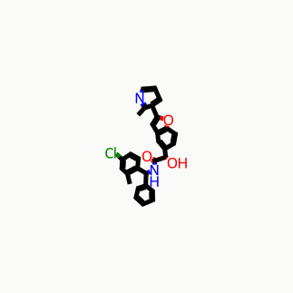 Cc1cc(Cl)ccc1C(NC(=O)C(O)c1ccc2oc(-c3cccnc3C)cc2c1)c1ccccc1